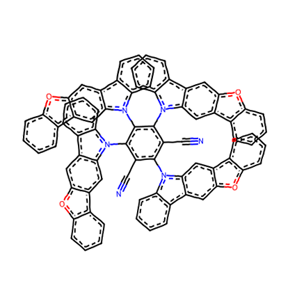 N#Cc1c(-n2c3ccccc3c3cc4oc5ccccc5c4cc32)c(C#N)c(-n2c3ccccc3c3cc4oc5ccccc5c4cc32)c(-n2c3ccccc3c3cc4oc5ccccc5c4cc32)c1-n1c2ccccc2c2cc3oc4ccccc4c3cc21